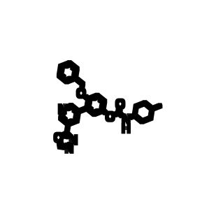 CC1CCC(NC(=O)Oc2ccc(OCc3ccccc3)c(-c3cncc(-c4nnco4)c3)c2)CC1